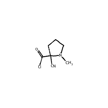 CN1CCCC1(C#N)C(=O)Cl